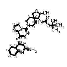 C[C@@H]1OCC2(CCN(c3ncc(Sc4cc(N)nc5ccccc45)c4nccn34)CC2)[C@@H]1NC(=O)OC(C)(C)C